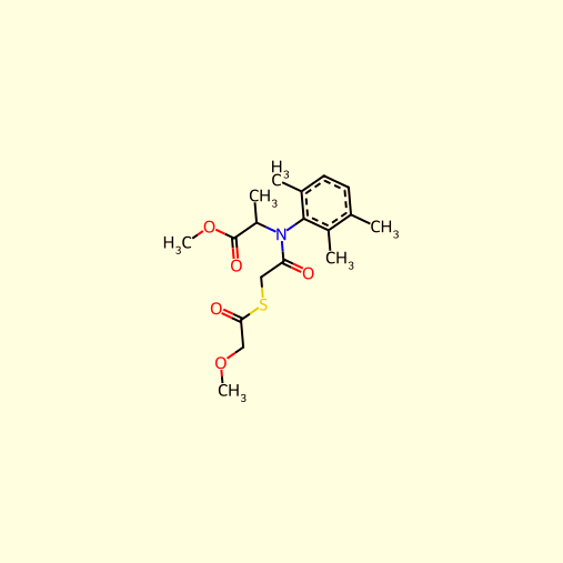 COCC(=O)SCC(=O)N(c1c(C)ccc(C)c1C)C(C)C(=O)OC